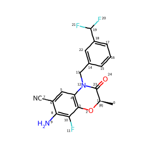 C[C@H]1Oc2c(cc(C#N)c(N)c2F)N(Cc2cccc(C(F)F)c2)C1=O